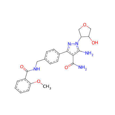 COc1ccccc1C(=O)NCc1ccc(-c2nn(C3COCC3O)c(N)c2C(N)=O)cc1